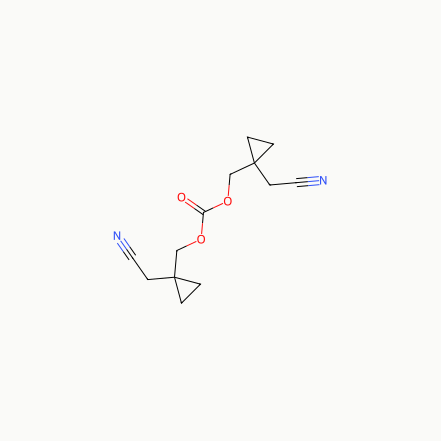 N#CCC1(COC(=O)OCC2(CC#N)CC2)CC1